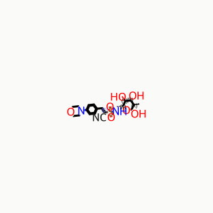 C[C@H]1C(O)O[C@H](CNS(=O)(=O)/C(C#N)=C/c2ccc(N3CCOCC3)cc2)[C@@H](O)[C@@H]1O